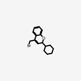 BrCC1=CC(C2CCCCC2)Oc2ccccc21